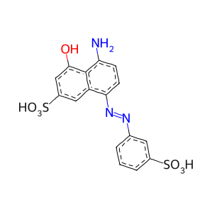 Nc1ccc(N=Nc2cccc(S(=O)(=O)O)c2)c2cc(S(=O)(=O)O)cc(O)c12